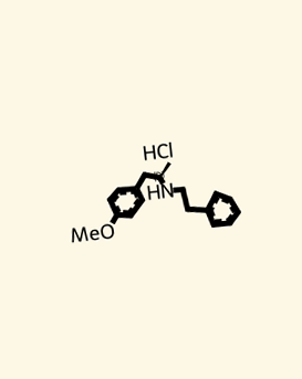 COc1ccc(C[C@@H](C)NCCc2ccccc2)cc1.Cl